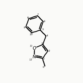 Cc1cc(Cc2ccccc2)on1